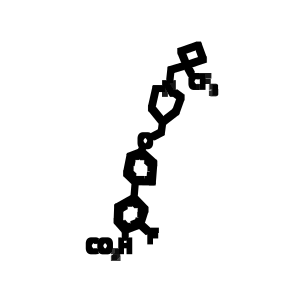 O=C(O)c1ccc(-c2ccc(OCC3CCN(CC4(C(F)(F)F)CCC4)CC3)cc2)cc1F